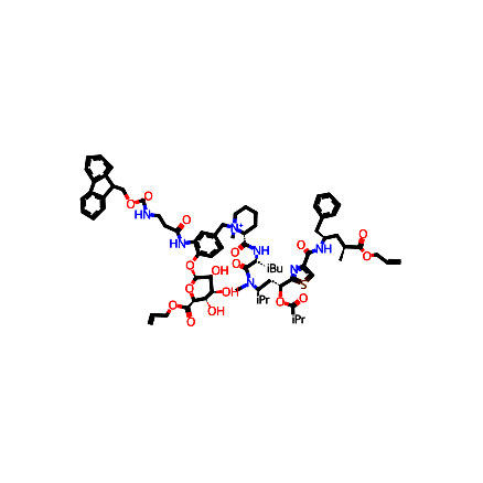 C=CCOC(=O)[C@H]1O[C@@H](Oc2ccc(C[N+]3(C)CCCC[C@@H]3C(=O)N[C@H](C(=O)N(C)[C@H](C[C@@H](OC(=O)C(C)C)c3nc(C(=O)N[C@@H](Cc4ccccc4)C[C@H](C)C(=O)OCC=C)cs3)C(C)C)[C@@H](C)CC)cc2NC(=O)CCNC(=O)OCC2c3ccccc3-c3ccccc32)[C@H](O)[C@@H](O)[C@@H]1O